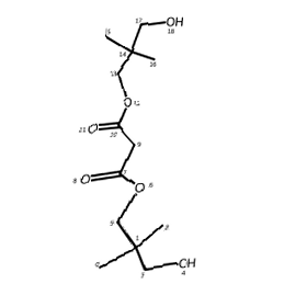 CC(C)(CO)COC(=O)CC(=O)OCC(C)(C)CO